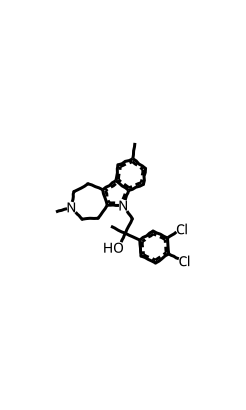 Cc1ccc2c(c1)c1c(n2CC(C)(O)c2ccc(Cl)c(Cl)c2)CCN(C)CC1